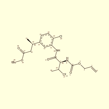 C=CCOC(=O)N[C@H](C(=O)Nc1cc([C@H](C)CC(=O)OC(C)(C)C)ccc1Cl)C(C)C(F)(F)F